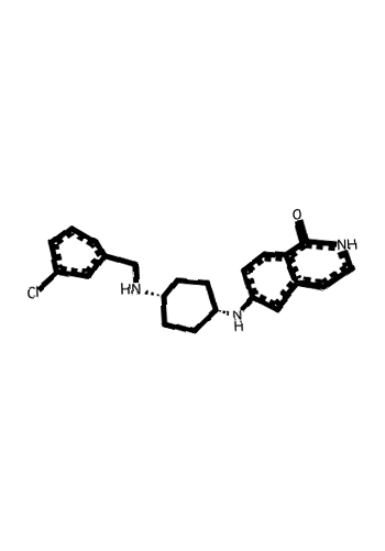 O=c1[nH]ccc2cc(N[C@H]3CC[C@@H](NCc4cccc(Cl)c4)CC3)ccc12